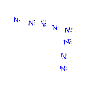 [N].[N].[N].[N].[N].[N].[N].[N]